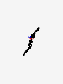 CCCCCCCCCCc1ccc(C2CCC(C(=O)Oc3ccc(CCCCCCCC)cc3C#N)CC2)cc1